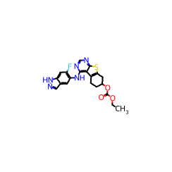 CCOC(=O)OC1CCc2c(sc3ncnc(Nc4cc5cn[nH]c5cc4F)c23)C1